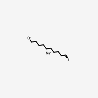 [Na+].[O-]CCCCCCCCCC=S